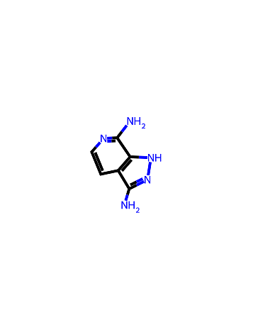 Nc1n[nH]c2c(N)nccc12